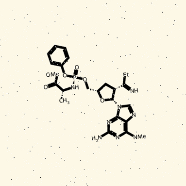 CCC(=N)[C@H]1C[C@@H](CO[P@@](=O)(N[C@H](C)C(=O)OC)Oc2ccccc2)O[C@H]1n1cnc2c(NC)nc(N)nc21